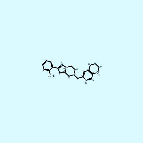 Cc1cccnc1-c1cc2n(n1)CCN(Cc1cc3c(cn1)OCCC3)C2